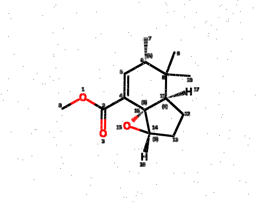 COC(=O)C1=C[C@H](C)C(C)(C)[C@H]2CC[C@@H]3O[C@@]132